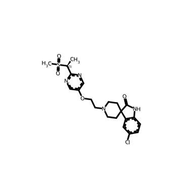 C[C@@H](c1ncc(OCCN2CCC3(CC2)C(=O)Nc2ccc(Cl)cc23)cn1)S(C)(=O)=O